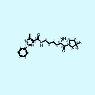 Cc1nn(-c2ccccc2)nc1C(=O)NCCCC[C@H](N)C(=O)N1CCC(F)(F)C1